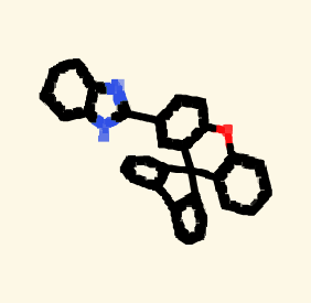 c1ccc2c(c1)Oc1ccc(-c3nc4ccccc4[nH]3)cc1C21c2ccccc2-c2ccccc21